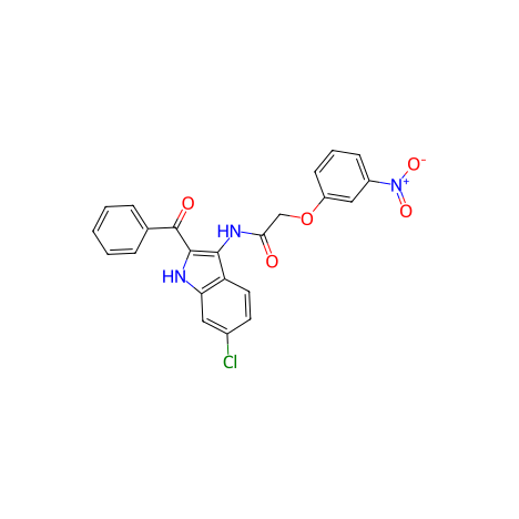 O=C(COc1cccc([N+](=O)[O-])c1)Nc1c(C(=O)c2ccccc2)[nH]c2cc(Cl)ccc12